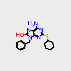 Nc1nc(SC2CCCCC2)nc2c1nc(O)n2Cc1ccccc1